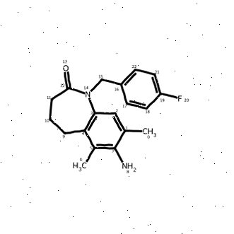 Cc1cc2c(c(C)c1N)CCCC(=O)N2Cc1ccc(F)cc1